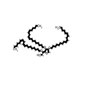 CCCCC/C=C\C/C=C\CCCCCCCCO[C@H]1[C@@H]([C@@H](CO)OCCCCCCCC/C=C\C/C=C\CCCCC)OC[C@@H]1OCCCCCCCC/C=C\C/C=C\CCCCC